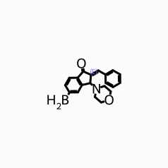 Bc1ccc2c(c1)C(N1CCOCC1)/C(=C\c1ccccc1)C2=O